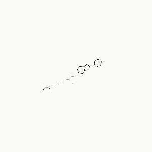 C=C(C)C(=O)OCCCCC(O)COc1ccc2cc(-c3ccc(CC)cc3)sc2c1